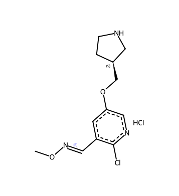 CO/N=C/c1cc(OC[C@H]2CCNC2)cnc1Cl.Cl